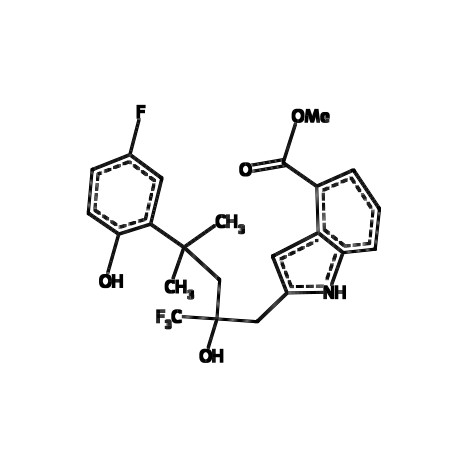 COC(=O)c1cccc2[nH]c(CC(O)(CC(C)(C)c3cc(F)ccc3O)C(F)(F)F)cc12